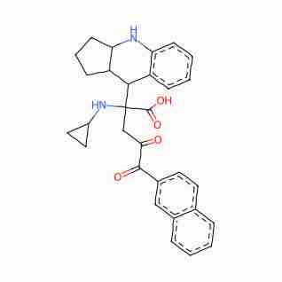 O=C(CC(NC1CC1)(C(=O)O)C1c2ccccc2NC2CCCC21)C(=O)c1ccc2ccccc2c1